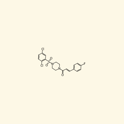 O=C(C=Cc1ccc(F)cc1)N1CCN(S(=O)(=O)c2cc(Cl)ccc2Cl)CC1